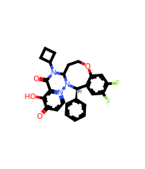 O=C1c2c(O)c(=O)ccn2N2C(CCOc3cc(F)c(F)cc3[C@H]2c2ccccc2)N1C1CCC1